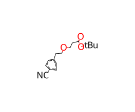 CC(C)(C)OC(=O)CCOCCc1ccc(C#N)cc1